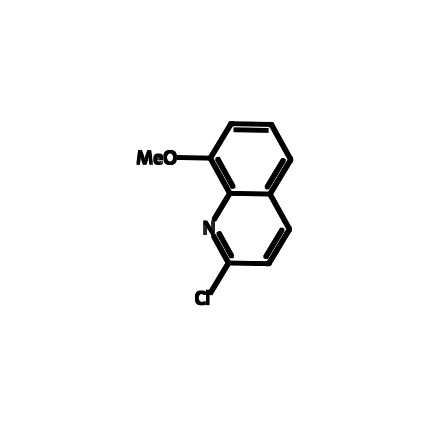 COc1cccc2ccc(Cl)nc12